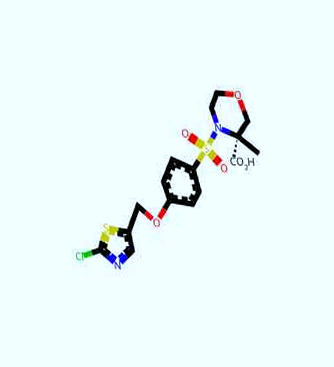 C[C@]1(C(=O)O)COCCN1S(=O)(=O)c1ccc(OCc2cnc(Cl)s2)cc1